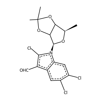 C[C@H]1O[C@@H](n2c(Cl)c(C=O)c3cc(Cl)c(Cl)cc32)C2OC(C)(C)OC21